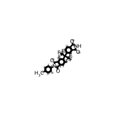 Cc1ccc(N2C(=O)c3ccc(C(c4ccc5c(c4)C(=O)NC5=O)(C(F)(F)F)C(F)(F)F)cc3C2=O)cc1